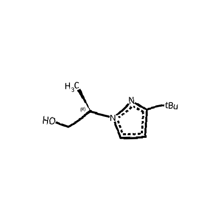 C[C@H](CO)n1ccc(C(C)(C)C)n1